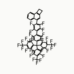 Fc1c(F)c(-c2cc3c(c4ccccc24)CC3)c(F)c(F)c1-c1c(F)c(F)c(C(c2c(F)c(F)c(C(F)(F)F)c(F)c2F)(c2c(F)c(F)c(C(F)(F)F)c(F)c2F)c2c(F)c(F)c(C(F)(F)F)c(F)c2F)c(F)c1F